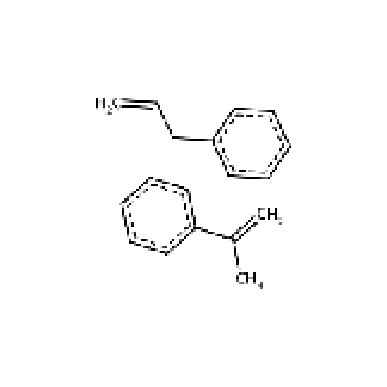 C=C(C)c1ccccc1.C=CCc1ccccc1